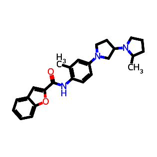 Cc1cc(N2CCC(N3CCCC3C)C2)ccc1NC(=O)c1cc2ccccc2o1